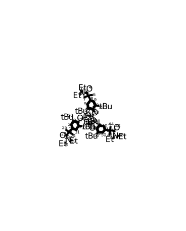 CCN(CC)C(=O)C(C)(C)c1cc(C(C)(C)C)c(OP2OP(Oc3c(C(C)(C)C)cc(C(C)(C)C(=O)N(CC)CC)cc3C(C)(C)C)OP(Oc3c(C(C)(C)C)cc(C(C)(C)C(=O)N(CC)CC)cc3C(C)(C)C)O2)c(C(C)(C)C)c1